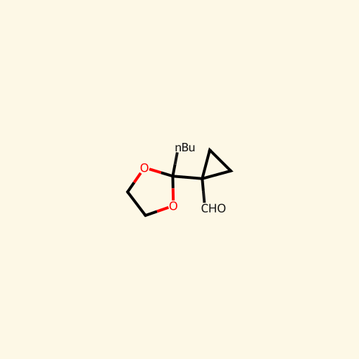 CCCCC1(C2(C=O)CC2)OCCO1